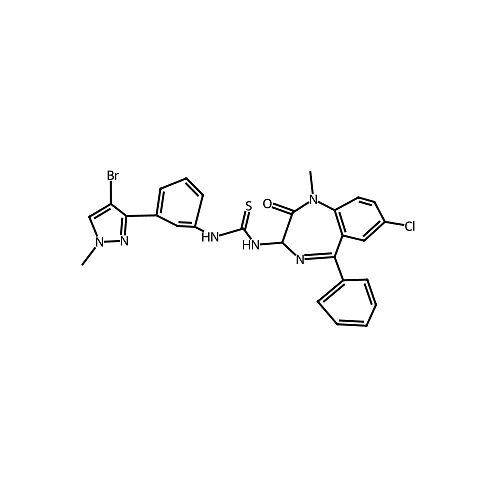 CN1C(=O)C(NC(=S)Nc2cccc(-c3nn(C)cc3Br)c2)N=C(c2ccccc2)c2cc(Cl)ccc21